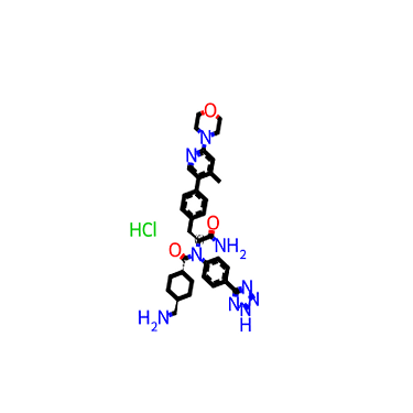 Cc1cc(N2CCOCC2)ncc1-c1ccc(C[C@@H](C(N)=O)N(c2ccc(-c3nn[nH]n3)cc2)C(=O)[C@H]2CC[C@H](CN)CC2)cc1.Cl